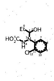 CCC(O)N(NC(=O)O)c1ccccc1Cl